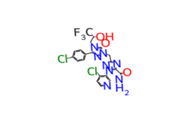 NC(=O)c1nc(Cn2nc(-c3ccc(Cl)cc3)n(CC(O)C(F)(F)F)c2=O)nn1-c1cnccc1Cl